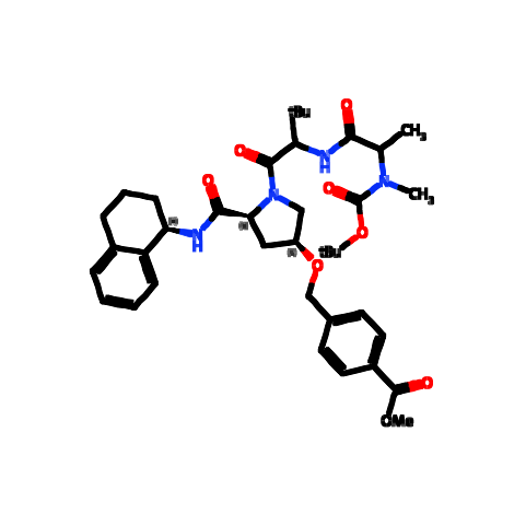 COC(=O)c1ccc(CO[C@H]2C[C@@H](C(=O)N[C@@H]3CCCc4ccccc43)N(C(=O)C(NC(=O)C(C)N(C)C(=O)OC(C)(C)C)C(C)(C)C)C2)cc1